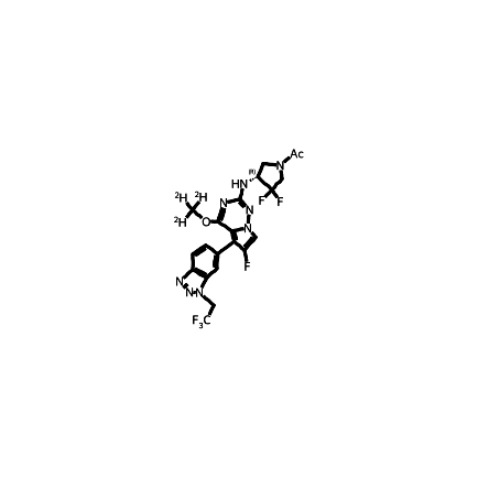 [2H]C([2H])([2H])Oc1nc(N[C@@H]2CN(C(C)=O)CC2(F)F)nn2cc(F)c(-c3ccc4nnn(CC(F)(F)F)c4c3)c12